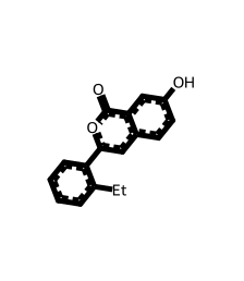 CCc1ccccc1-c1cc2ccc(O)cc2c(=O)o1